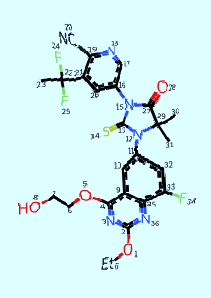 CCOc1nc(OCCO)c2cc(N3C(=S)N(c4cnc(C#N)c(C(C)(F)F)c4)C(=O)C3(C)C)cc(F)c2n1